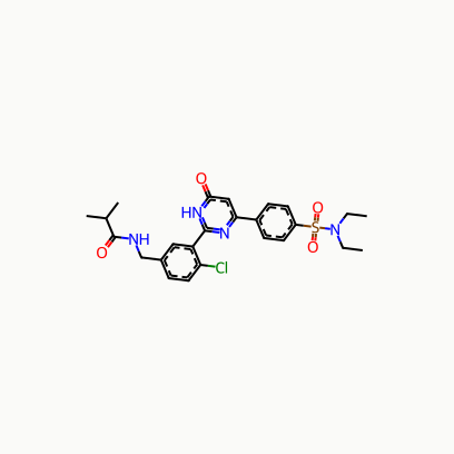 CCN(CC)S(=O)(=O)c1ccc(-c2cc(=O)[nH]c(-c3cc(CNC(=O)C(C)C)ccc3Cl)n2)cc1